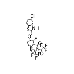 O=C(c1c(F)ccc(OCC2Nc3cc(Cl)ccc3S2)c1F)N(C(=O)C(F)(F)F)C(=O)C(F)(F)F